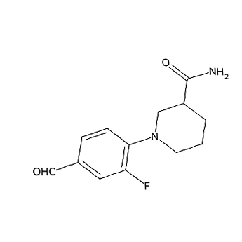 NC(=O)C1CCCN(c2ccc(C=O)cc2F)C1